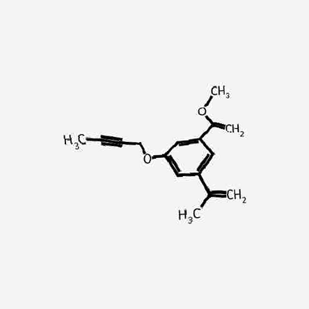 C=C(C)c1cc(OCC#CC)cc(C(=C)OC)c1